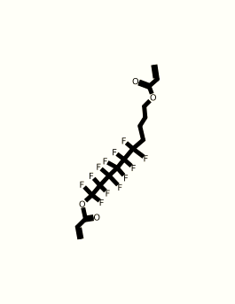 C=CC(=O)OCCCCC(F)(F)C(F)(F)C(F)(F)C(F)(F)C(F)(F)C(F)(F)OC(=O)C=C